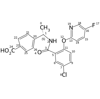 C[C@H](NC(=O)c1cc(Cl)ccc1Oc1ccc(F)cn1)c1ccc(C(=O)O)cc1